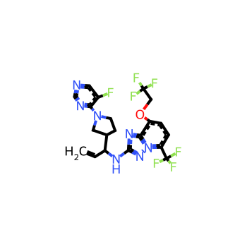 C=CC(Nc1nc2c(OCC(F)(F)F)ccc(C(F)(F)F)n2n1)C1CCN(c2ncncc2F)C1